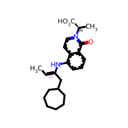 C/C=C(/CC1CCCCCC1)Nc1cccc2c(=O)n([C@H](C)C(=O)O)ccc12